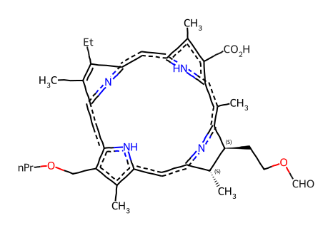 CCCOCc1c(C)c2cc3nc(c(C)c4[nH]c(cc5nc(cc1[nH]2)C(C)=C5CC)c(C)c4C(=O)O)[C@@H](CCOC=O)[C@@H]3C